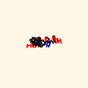 O=C(O)CCNC(=O)C1CCC2(CC1)SC[C@@H](C(=O)O)N2C(=O)c1ccccc1